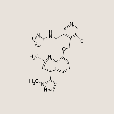 Cc1cc(-c2ccnn2C)c2cccc(OCc3c(Cl)cncc3CNc3ccon3)c2n1